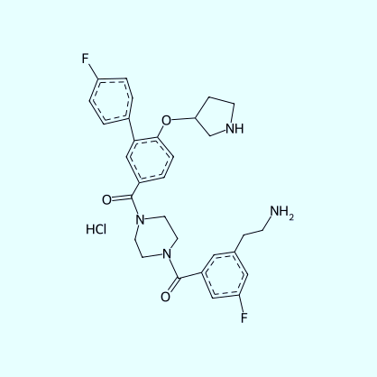 Cl.NCCc1cc(F)cc(C(=O)N2CCN(C(=O)c3ccc(OC4CCNC4)c(-c4ccc(F)cc4)c3)CC2)c1